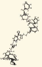 O=C(NCCCOc1cccc(C(C(=O)OCC2CCN(Cc3ccccc3)CC2)c2ccccc2)c1)c1ccc(CNCCc2ccc(O)c3[nH]c(=O)ccc23)cc1